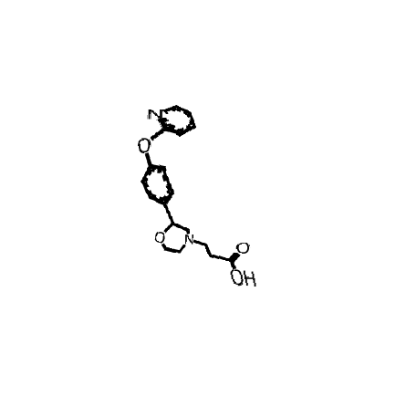 O=C(O)CCN1CCOC(c2ccc(Oc3ccccn3)cc2)C1